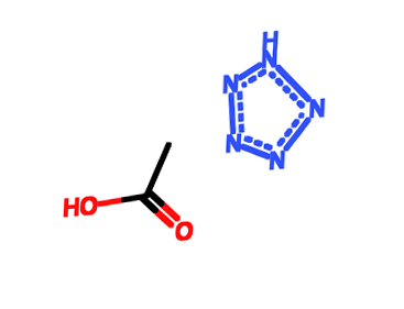 CC(=O)O.n1nn[nH]n1